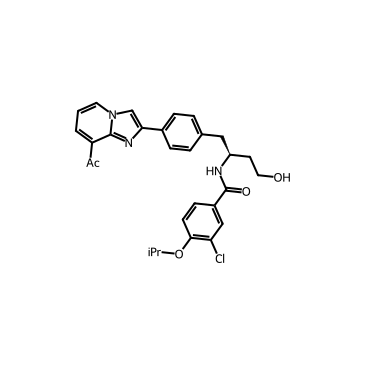 CC(=O)c1cccn2cc(-c3ccc(C[C@@H](CCO)NC(=O)c4ccc(OC(C)C)c(Cl)c4)cc3)nc12